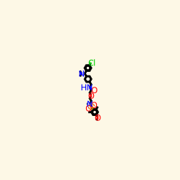 COc1cc(C)c(S(=O)(=O)N(C)CCOCC(=O)NCC2CCC(C(c3ccc(Cl)cc3)N(C)C)CC2)c(C)c1